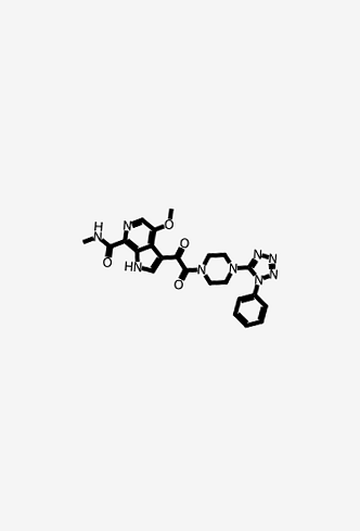 CNC(=O)c1ncc(OC)c2c(C(=O)C(=O)N3CCN(c4nnnn4-c4ccccc4)CC3)c[nH]c12